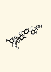 BC(B)(Oc1cc(C)n(-c2cc(-c3ccnc(C(C)(C)O)c3F)ncc2C)c(=O)c1Cl)c1ncc(F)cc1F